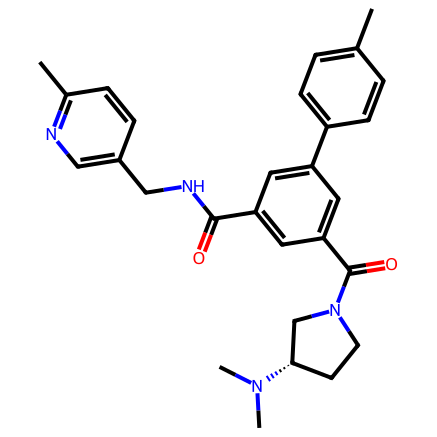 Cc1ccc(-c2cc(C(=O)NCc3ccc(C)nc3)cc(C(=O)N3CC[C@H](N(C)C)C3)c2)cc1